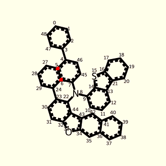 c1ccc(-c2ccc(N(c3cccc4c3sc3ccccc34)c3c(-c4ccccc4)ccc4oc5cc6ccccc6cc5c34)cc2)cc1